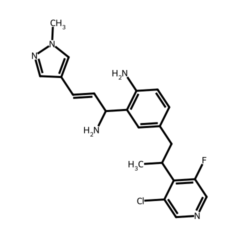 CC(Cc1ccc(N)c(C(N)/C=C/c2cnn(C)c2)c1)c1c(F)cncc1Cl